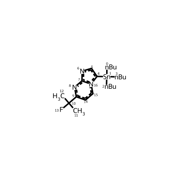 CCC[CH2][Sn]([CH2]CCC)([CH2]CCC)[c]1cnc2nc(C(C)(C)F)ccn12